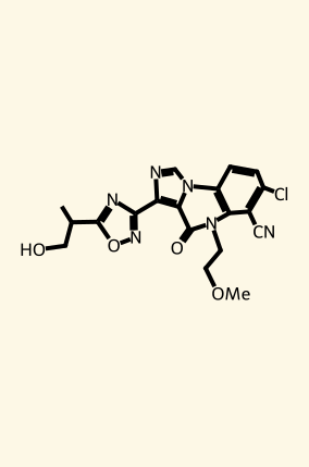 COCCn1c(=O)c2c(-c3noc(C(C)CO)n3)ncn2c2ccc(Cl)c(C#N)c21